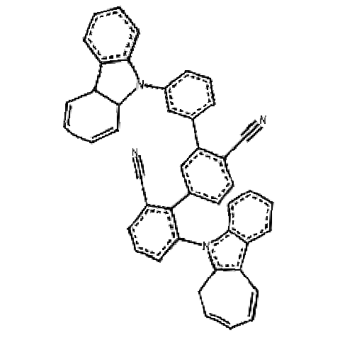 N#Cc1ccc(-c2c(C#N)cccc2-n2c3c(c4ccccc42)C=CC=CC3)cc1-c1cccc(N2c3ccccc3C3C=CC=CC32)c1